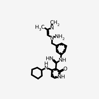 C=N/C(C)=C\N(N)Cc1cccc(NC(=N)c2c(NC3CCCCC3)cc[nH]c2=O)c1